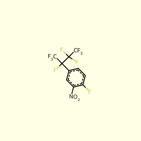 O=[N+]([O-])c1cc(C(F)(C(F)(F)F)C(F)(F)C(F)(F)F)ccc1F